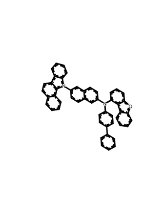 c1ccc(-c2ccc(N(c3ccc4cc(-n5c6ccccc6c6ccc7ccccc7c65)ccc4c3)c3cccc4oc5ccccc5c34)cc2)cc1